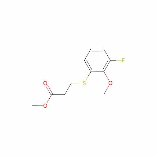 COC(=O)CCSc1cccc(F)c1OC